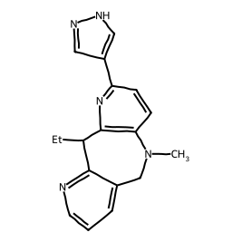 CCC1c2ncccc2CN(C)c2ccc(-c3cn[nH]c3)nc21